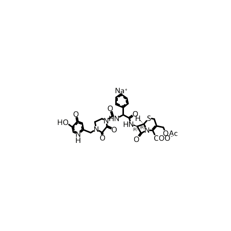 CC(=O)OCC1=C(C(=O)[O-])N2C(=O)[C@@H](NC(=O)C(NC(=O)N3CCN(Cc4cc(=O)c(O)c[nH]4)C(=O)C3=O)c3ccccc3)[C@H]2SC1.[Na+]